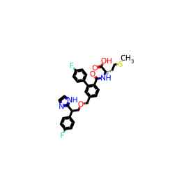 CSCC[C@H](NC(=O)c1ccc(COCC(c2ccc(F)cc2)c2ncc[nH]2)cc1-c1ccc(F)cc1)C(=O)O